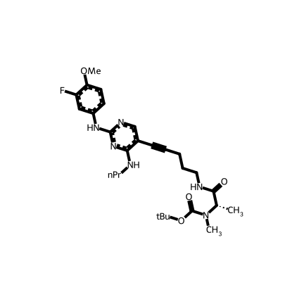 CCCNc1nc(Nc2ccc(OC)c(F)c2)ncc1C#CCCCNC(=O)[C@H](C)N(C)C(=O)OC(C)(C)C